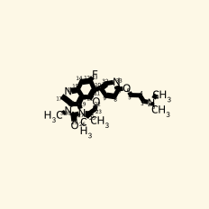 CN(C)CCCOc1ccc(-c2c(F)cc3ncc4c5c3c2OCC(C)(C)n5c(=O)n4C)cn1